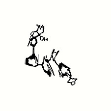 CN1CC[C@@](O)(c2cc(-c3cccc(-c4ccnc(Nc5ccn(C6COC6)n5)n4)n3)no2)C1=O